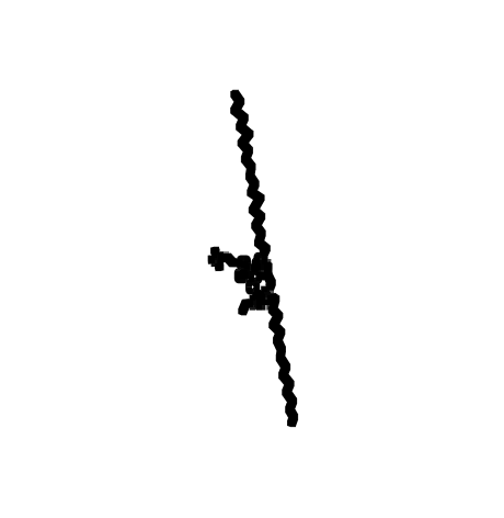 CCCCCCCCCCCCCCCCCCCCOCC(CN(CCCCCCCCCCCCCCCC)C(=O)NCC)OP(=O)([O-])OCC[N+](C)(C)C